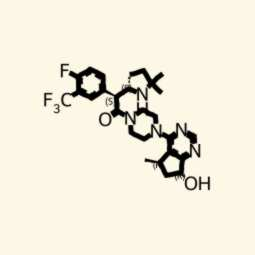 C[C@@H]1C[C@@H](O)c2ncnc(N3CCN(C(=O)[C@@H](c4ccc(F)c(C(F)(F)F)c4)[C@@H]4CCC(C)(C)N4)CC3)c21